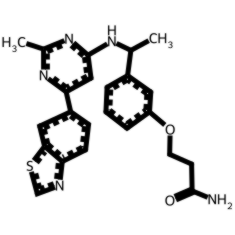 Cc1nc(NC(C)c2cccc(OCCC(N)=O)c2)cc(-c2ccc3ncsc3c2)n1